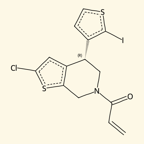 C=CC(=O)N1Cc2sc(Cl)cc2[C@H](c2ccsc2I)C1